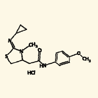 COc1ccc(NC(=O)CC2CSC(=NC3CC3)N2C)cc1.Cl